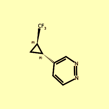 FC(F)(F)[C@@H]1C[C@H]1c1ccnnc1